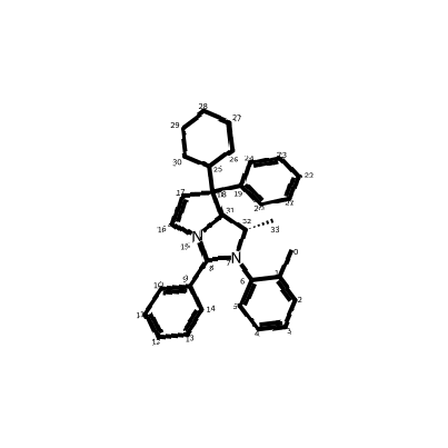 Cc1ccccc1N1C(c2ccccc2)N2C=CC(c3ccccc3)(C3CCCCC3)C2[C@@H]1C